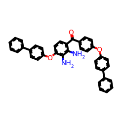 Nc1c(Oc2ccc(-c3ccccc3)cc2)ccc(C(=O)c2ccc(Oc3ccc(-c4ccccc4)cc3)cc2)c1N